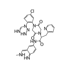 CN/C=C1/C=C(NC(=O)C(Cc2ccccn2)N2CC(=O)N(c3cc(Cl)ccc3N(C=N)N=N)CC2=O)C=CC1=N